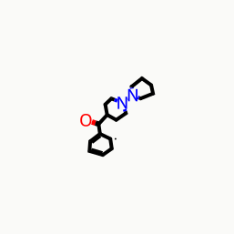 O=C(C1=CC=CC[CH]1)C1CCN(N2CCCCC2)CC1